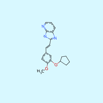 COc1ccc(C=CC2=Nc3cccnc3[N]2)cc1OC1CCCC1